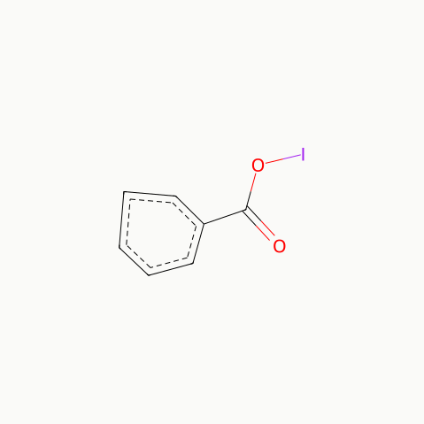 O=C(OI)c1ccccc1